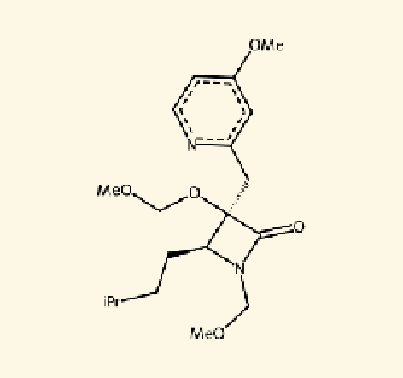 COCO[C@@]1(Cc2cc(OC)ccn2)C(=O)N(COC)[C@H]1CCC(C)C